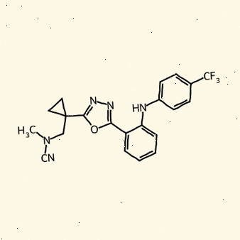 CN(C#N)CC1(c2nnc(-c3ccccc3Nc3ccc(C(F)(F)F)cc3)o2)CC1